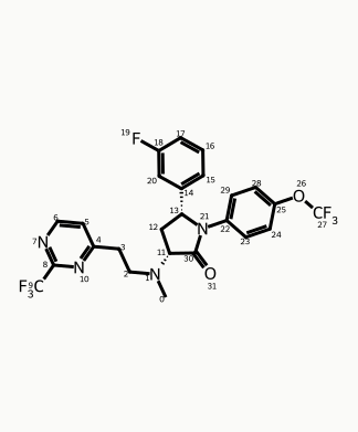 CN(CCc1ccnc(C(F)(F)F)n1)[C@@H]1C[C@H](c2cccc(F)c2)N(c2ccc(OC(F)(F)F)cc2)C1=O